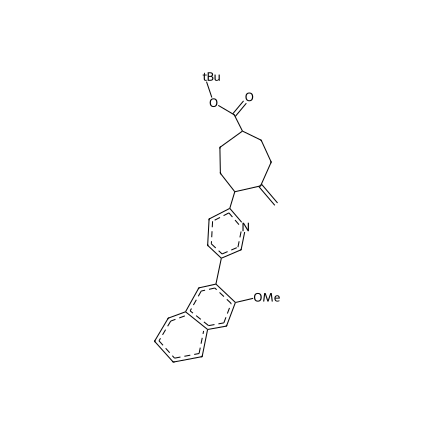 C=C1CCC(C(=O)OC(C)(C)C)CCC1c1ccc(-c2cc3ccccc3cc2OC)cn1